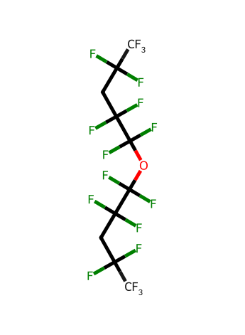 FC(F)(F)C(F)(F)CC(F)(F)C(F)(F)OC(F)(F)C(F)(F)CC(F)(F)C(F)(F)F